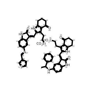 CC(Nc1ccc2c(c1)C(=Cc1[nH]c3c(c1CCC(=O)O)C(=O)CCC3)C(=O)N2)c1ccccc1.CCOC(=O)CCc1c(/C=C2\C(=O)Nc3ccc(/N=C/c4ccsc4)cc32)[nH]c2c1C(=O)CCC2